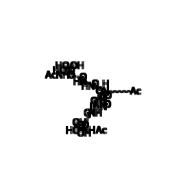 CC(=O)CCCCCCCCCCC(=O)NC(COCCC(N)=O)(COCCC(=O)NCCCNC(=O)CCCCO[C@@H]1OC(CO)[C@@H](O)C(O)C1NC(C)=O)COCCC(=O)NCCCNC(=O)CCCCO[C@@H]1OC(CO)[C@@H](O)C(O)C1NC(C)=O